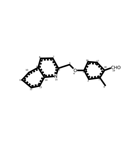 Cc1cc(OCc2ccc3ccccc3n2)ccc1C=O